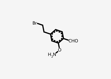 NOc1cc(CCBr)ccc1C=O